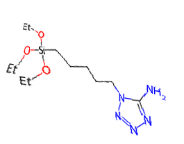 CCO[Si](CCCCCn1nnnc1N)(OCC)OCC